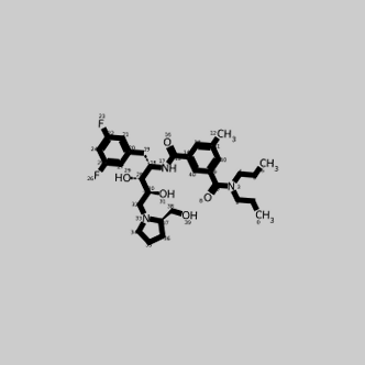 CCCN(CCC)C(=O)c1cc(C)cc(C(=O)N[C@@H](Cc2cc(F)cc(F)c2)[C@@H](O)[C@@H](O)CN2CCC[C@@H]2CO)c1